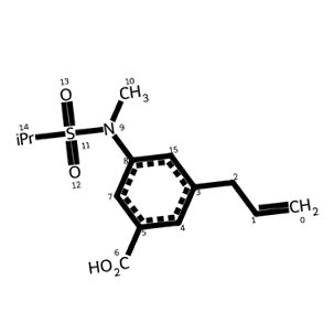 C=CCc1cc(C(=O)O)cc(N(C)S(=O)(=O)C(C)C)c1